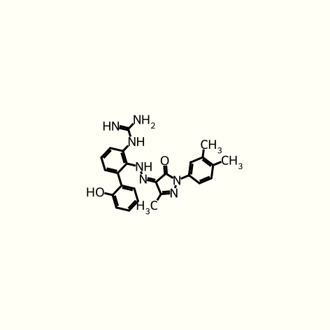 CC1=NN(c2ccc(C)c(C)c2)C(=O)C1=NNc1c(NC(=N)N)cccc1-c1ccccc1O